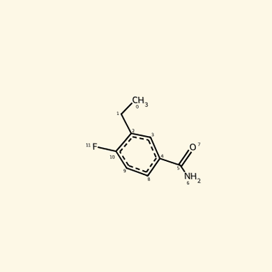 CCc1cc(C(N)=O)ccc1F